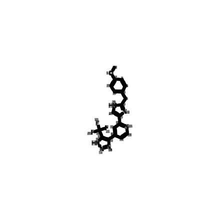 COc1ccc(Cc2nc(-c3cc(-c4nn[nH]c4C(F)(F)F)ccn3)c[nH]2)cc1